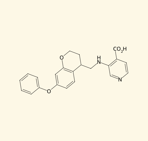 O=C(O)c1ccncc1NCC1CCOc2cc(Oc3ccccc3)ccc21